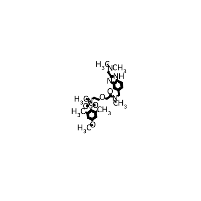 COc1cc(C)c(S(=O)(=O)N(C)CCOCC(=O)N(C)Cc2ccc3[nH]c(CN(C)C)nc3c2)c(C)c1